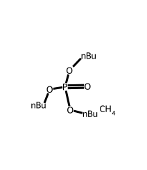 C.CCCCOP(=O)(OCCCC)OCCCC